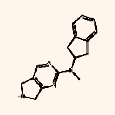 CN(c1ncc2c(n1)CNC2)C1Cc2ccccc2C1